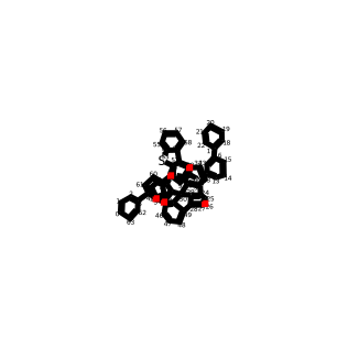 c1ccc(-c2ccc(-c3cc(N(c4cccc(-c5ccccc5)c4)c4cccc5c4C4(c6ccccc6Oc6ccccc64)c4ccccc4-5)cc4c3sc3ccccc34)cc2)cc1